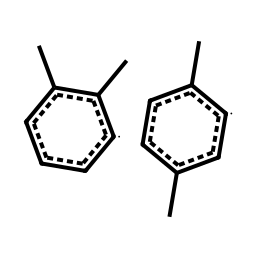 Cc1[c]cc(C)cc1.Cc1[c]cccc1C